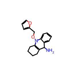 NC1C2=C(CCCC2)N(OCc2ccco2)c2ccccc21